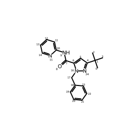 CC(C)(C)c1cc(C(=O)Nc2ccccn2)n(Cc2ccccc2)n1